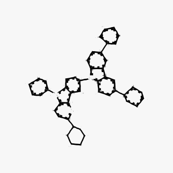 c1ccc(-c2ccc3c(c2)c2cc(-c4ccccc4)ccc2n3-c2ccc3c(c2)c2nc(C4CCCCC4)ccc2n3-c2ccccc2)cc1